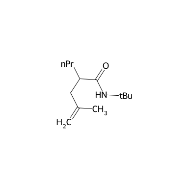 C=C(C)CC(CCC)C(=O)NC(C)(C)C